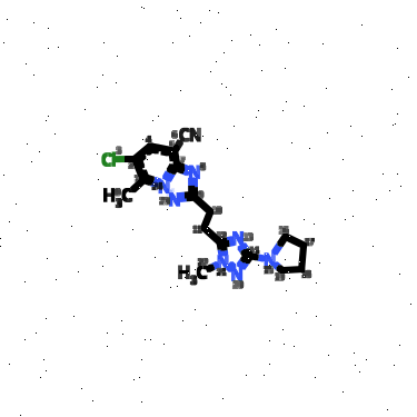 Cc1c(Cl)cc(C#N)c2nc(CCc3nc(N4CCCC4)nn3C)nn12